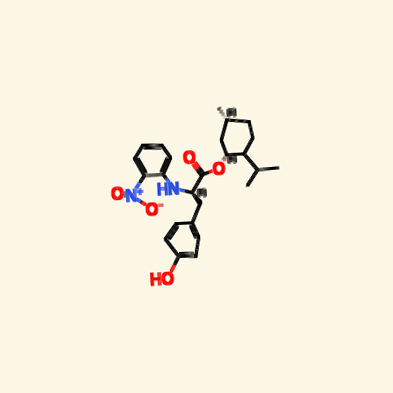 CC(C)C1CC[C@@H](C)C[C@H]1OC(=O)[C@@H](Cc1ccc(O)cc1)Nc1ccccc1[N+](=O)[O-]